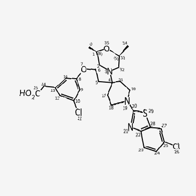 C[C@@H]1CN(C2(CCOc3cc(Cl)cc(CC(=O)O)c3)CCN(c3nc4ccc(Cl)cc4s3)CC2)C[C@H](C)O1